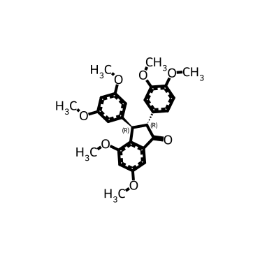 COc1cc(OC)cc([C@@H]2c3c(OC)cc(OC)cc3C(=O)[C@H]2c2ccc(OC)c(OC)c2)c1